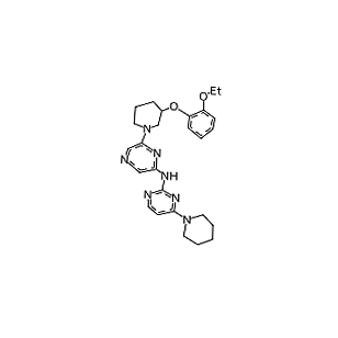 CCOc1ccccc1OC1CCCN(c2cncc(Nc3nccc(N4CCCCC4)n3)n2)C1